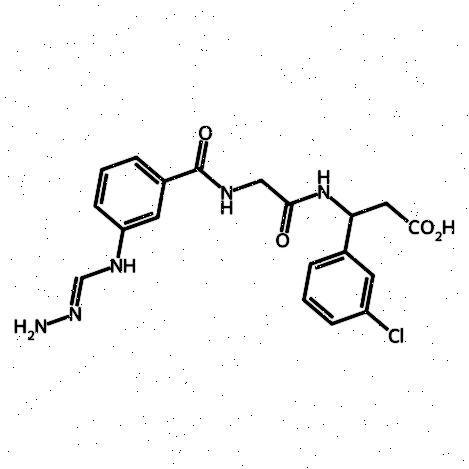 NN=CNc1cccc(C(=O)NCC(=O)NC(CC(=O)O)c2cccc(Cl)c2)c1